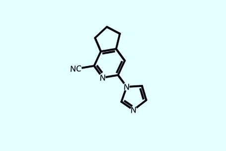 N#Cc1nc(-n2ccnc2)cc2c1CCC2